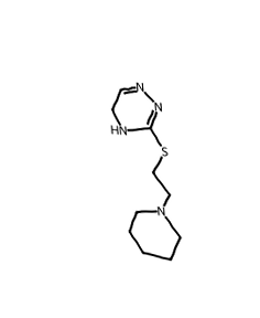 C1=NN=C(SCCN2CCCCC2)NC1